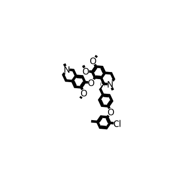 COc1cc2c(cc1Oc1c(OC)c(OC)cc3c1[C@H](Cc1ccc(Oc4cc(C)ccc4Cl)cc1)N(C)CC3)CN(C)CC2